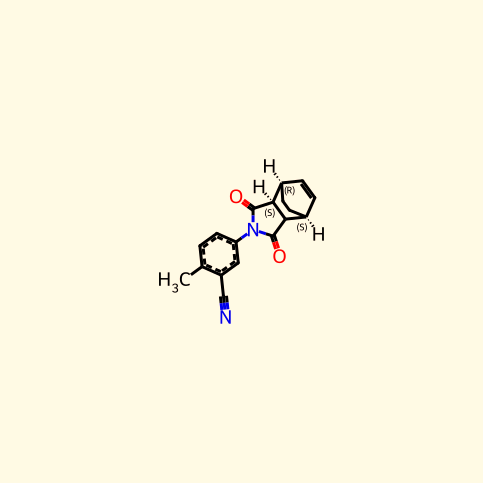 Cc1ccc(N2C(=O)C3[C@@H]4C=C[C@@H](CC4)[C@@H]3C2=O)cc1C#N